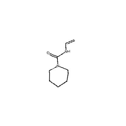 C=CNC(=O)N1CCCCC1